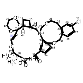 C[C@@H]1[C@@H](C)C/C=C/[C@]2(COCCO2)[C@@H]2CC[C@H]2CN2CCCCc3cc(Cl)ccc3COc3ccc(cc32)C(=O)NS1(=O)=O